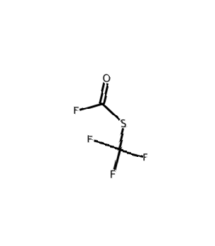 O=C(F)SC(F)(F)F